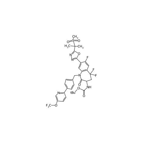 CC(C)(C)OC(=O)NC1CC(F)(F)c2cc(F)c(-c3nnc(C(C)(C)S(C)(=O)=O)o3)cc2N(Cc2ccc(-c3ccc(OC(F)(F)F)cn3)cc2)C1=O